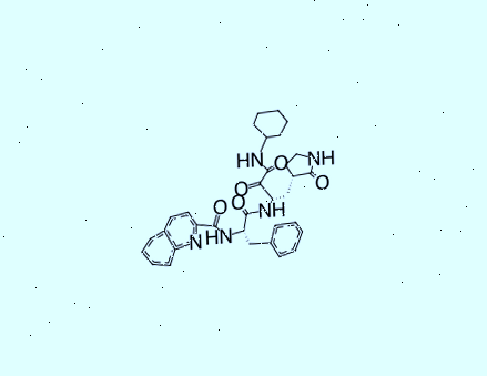 O=C(NC1CCCCC1)C(=O)[C@H](C[C@@H]1CCNC1=O)NC(=O)[C@H](Cc1ccccc1)NC(=O)c1ccc2ccccc2n1